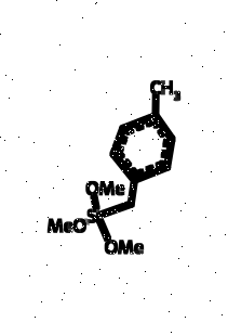 CO[Si](Cc1ccc(C)cc1)(OC)OC